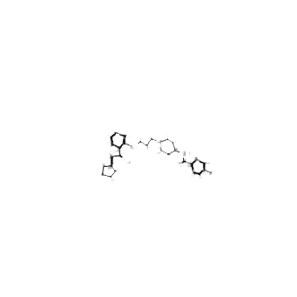 O=C(NC1CCN(CCCOc2cccc3c2C(=O)C(=C2CCCC2)O3)CC1)c1ccc(F)cc1